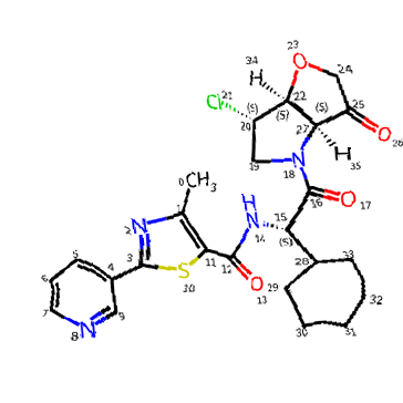 Cc1nc(-c2cccnc2)sc1C(=O)N[C@H](C(=O)N1C[C@H](Cl)[C@H]2OCC(=O)[C@H]21)C1CCCCC1